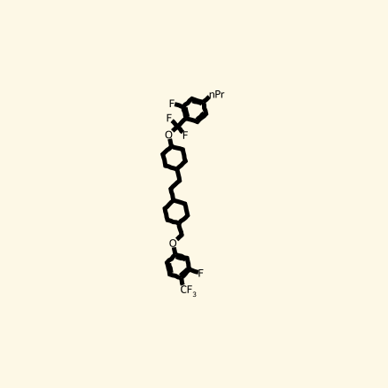 CCCc1ccc(C(F)(F)OC2CCC(CCC3CCC(COc4ccc(C(F)(F)F)c(F)c4)CC3)CC2)c(F)c1